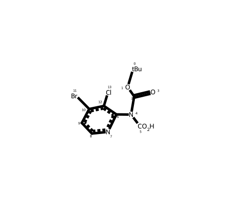 CC(C)(C)OC(=O)N(C(=O)O)c1nccc(Br)c1Cl